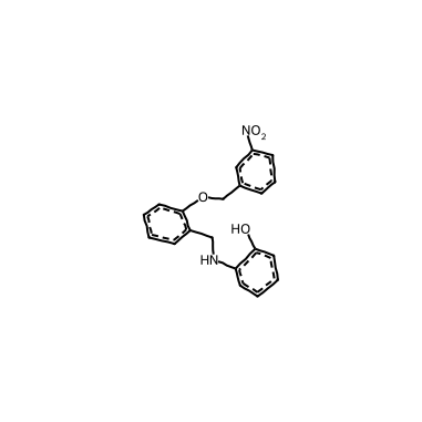 O=[N+]([O-])c1cccc(COc2ccccc2CNc2ccccc2O)c1